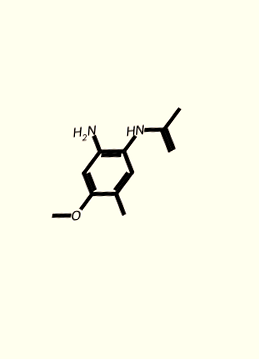 C=C(C)Nc1cc(C)c(OC)cc1N